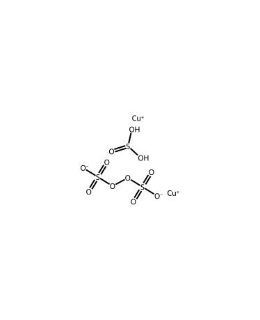 O=S(=O)([O-])OOS(=O)(=O)[O-].O=S(O)O.[Cu+].[Cu+]